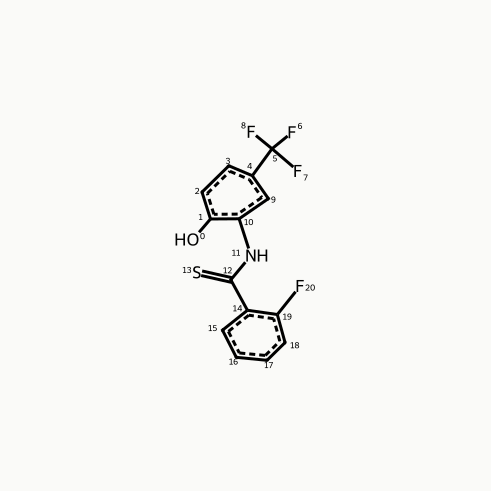 Oc1ccc(C(F)(F)F)cc1NC(=S)c1ccccc1F